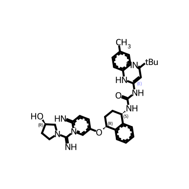 Cc1ccc(N/C(=C\C(=N)C(C)(C)C)NC(=O)N[C@H]2CC[C@@H](Oc3ccc(=N)n(C(=N)N4CC[C@@H](O)C4)c3)c3ccccc32)cc1